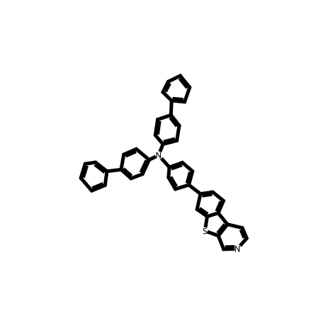 c1ccc(-c2ccc(N(c3ccc(-c4ccccc4)cc3)c3ccc(-c4ccc5c(c4)sc4cnccc45)cc3)cc2)cc1